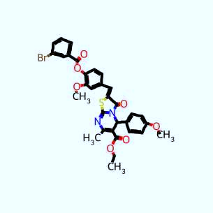 CCOC(=O)C1=C(C)N=c2sc(=Cc3ccc(OC(=O)c4cccc(Br)c4)c(OC)c3)c(=O)n2C1c1ccc(OC)cc1